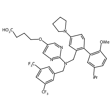 COc1ccc(C(C)C)cc1-c1ccc(N2CCCC2)cc1CN(Cc1cc(C(F)(F)F)cc(C(F)(F)F)c1)c1ncc(OCCCC(=O)O)cn1